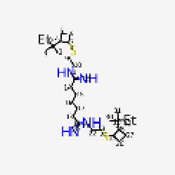 CCC(C)(C)C1CCC1SCCNC(=N)CCCCCC(=N)NCCSC1CCC1C(C)(C)CC